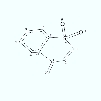 C=C1C=CS(=O)(=O)c2ccccc21